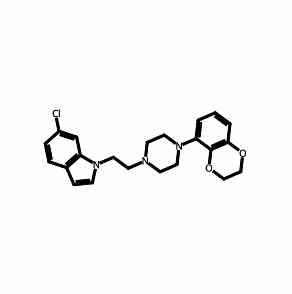 Clc1ccc2ccn(CCN3CCN(c4cccc5c4OCCO5)CC3)c2c1